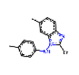 CCc1nc2ccc(C)cc2n1Nc1ccc(C)cc1